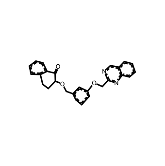 O=C1c2ccccc2CCC1OCc1cccc(OCc2ncc3ccccc3n2)c1